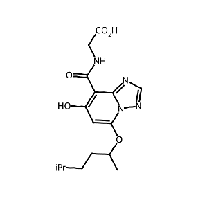 CC(C)CCC(C)Oc1cc(O)c(C(=O)NCC(=O)O)c2ncnn12